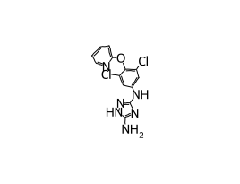 Nc1nc(Nc2cc(Cl)c(Oc3ccccn3)c(Cl)c2)n[nH]1